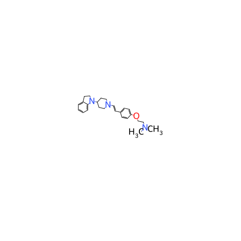 CN(C)CCOc1ccc(C=CN2CCC(N3CCc4ccccc43)CC2)cc1